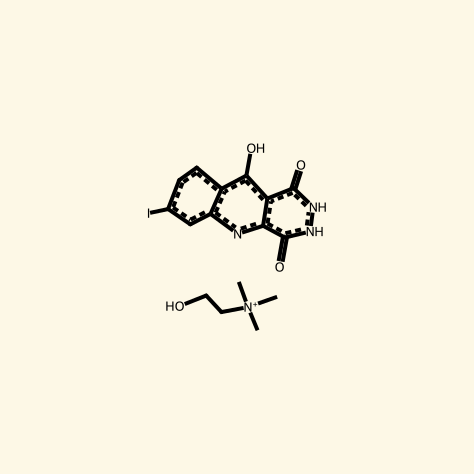 C[N+](C)(C)CCO.O=c1[nH][nH]c(=O)c2c(O)c3ccc(I)cc3nc12